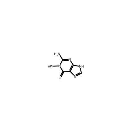 CCCn1c(N)nc2[nH]cnc2c1=O